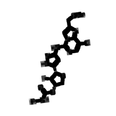 COCc1cn2c(Nc3cc([C@@H]4OC[C@H](OC(=O)NC(C)C)[C@H]4F)[nH]n3)ncc(Cl)c2n1